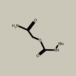 CC(C)(C)NC(=O)OCC(N)=O